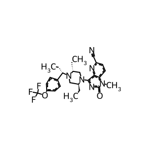 CC[C@H]1CN([C@@H](CC)c2ccc(OC(F)(F)F)cc2)[C@H](CC)CN1c1nc(=O)n(C)c2ccc(C#N)nc12